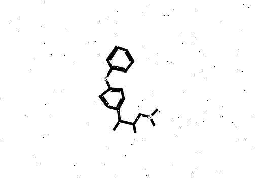 CC(CN(C)C)C(C)c1ccc(Sc2ccccc2)cc1